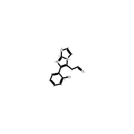 O=CCc1c(-c2ccccc2Cl)nc2occn12